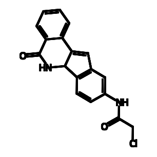 O=C(CCl)Nc1ccc2c(c1)C=C1c3ccccc3C(=O)NC12